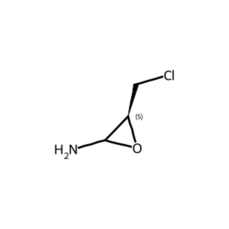 NC1O[C@@H]1CCl